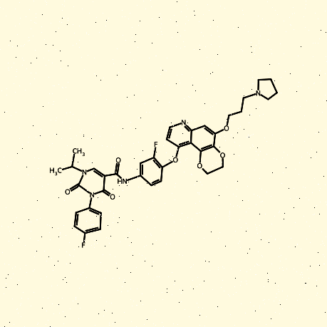 CC(C)n1cc(C(=O)Nc2ccc(Oc3ccnc4cc(OCCCN5CCCC5)c5c(c34)OCCO5)c(F)c2)c(=O)n(-c2ccc(F)cc2)c1=O